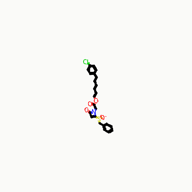 O=C(CN1C(=O)CC1[S+]([O-])Cc1ccccc1)OCCCCCCc1ccc(Cl)cc1